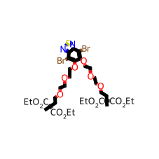 CCOC(=O)C(C)(CCOCCOCCOc1c(OCCOCCOCCC(C)(C(=O)OCC)C(=O)OCC)c(Br)c2nsnc2c1Br)C(=O)OCC